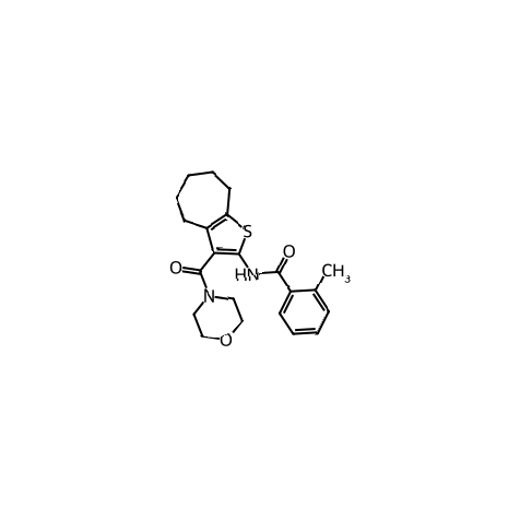 Cc1ccccc1C(=O)Nc1sc2c(c1C(=O)N1CCOCC1)CCCCC2